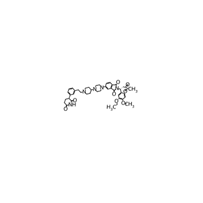 CCOc1cc([C@@H](CS(C)(=O)=O)N2C(=O)c3ccc(N4CCN(C5CCN(CCc6cccc(C7CCC(=O)NC7=O)c6)CC5)CC4)cc3C2=O)ccc1OC